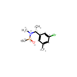 C[C@H](c1cc(Br)cc(C(F)(F)F)c1)N(C)[S+]([O-])C(C)(C)C